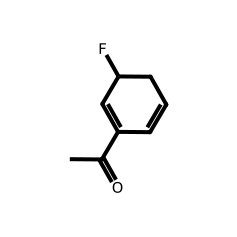 CC(=O)C1=CC(F)CC=C1